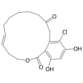 O=C1CCCCC/C=C/CCOC(=O)c2c(O)cc(O)c(Cl)c2C1